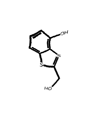 OCc1nc2c(O)cccc2s1